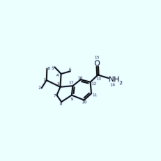 CC(C)C1(C(C)C)CCc2ccc(C(N)=O)cc21